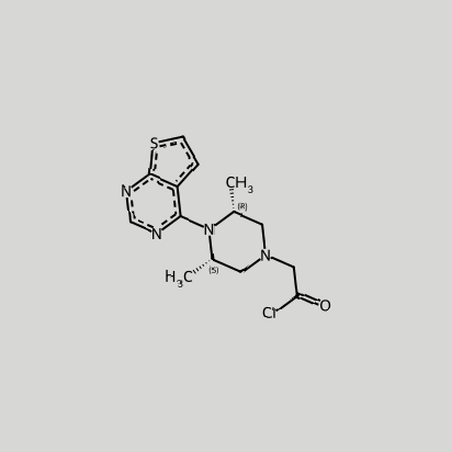 C[C@@H]1CN(CC(=O)Cl)C[C@H](C)N1c1ncnc2sccc12